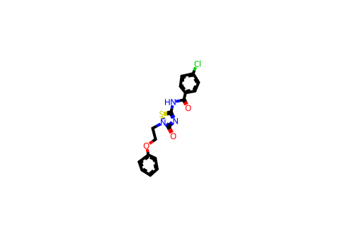 O=C(Nc1nc(=O)n(CCOc2ccccc2)s1)c1ccc(Cl)cc1